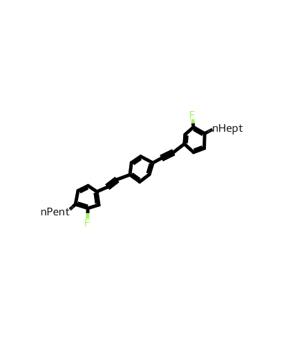 CCCCCCCc1ccc(C#Cc2ccc(C#Cc3ccc(CCCCC)c(F)c3)cc2)cc1F